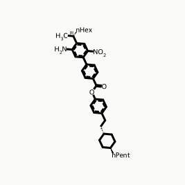 CCCCCC[C@@H](C)c1cc([N+](=O)[O-])c(-c2ccc(C(=O)Oc3ccc(CC[C@H]4CC[C@H](CCCCC)CC4)cc3)cc2)cc1N